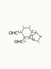 O=CC1CCC2C3CCC(C3)C2C1C=O